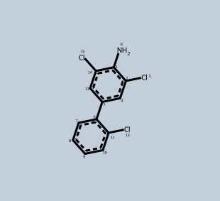 Nc1c(Cl)cc(-c2ccccc2Cl)cc1Cl